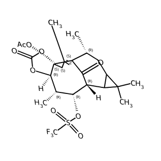 CC(=O)O[C@H]1C(C)=C[C@@]23C(=O)[C@H](C4C(C[C@H]2C)C4(C)C)[C@H](OS(=O)(=O)C(F)(F)F)[C@H](C)[C@H]2OC(=O)O[C@@]213